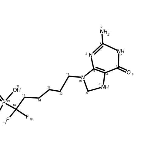 Nc1nc2c(c(=O)[nH]1)NCN2CCCCCC(F)(F)P(=O)(O)O